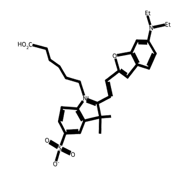 CCN(CC)c1ccc2cc(/C=C/C3=[N+](CCCCCC(=O)O)c4ccc(S(=O)(=O)[O-])cc4C3(C)C)oc2c1